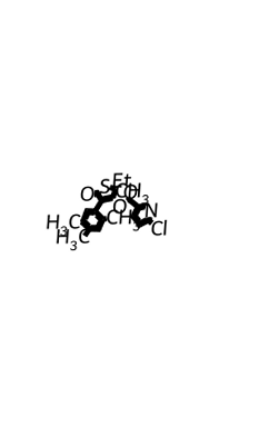 CCC1(C)SC(=O)C(c2cc(C)c(C)cc2C)=C1OC(=O)c1ccc(Cl)nc1